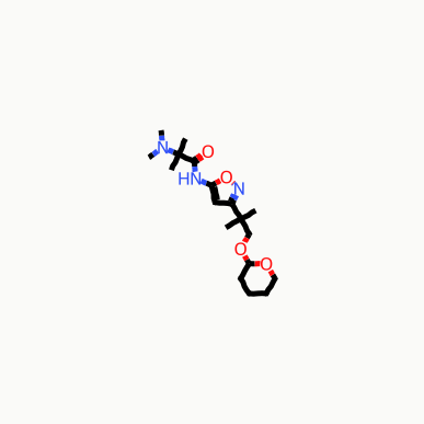 CN(C)C(C)(C)C(=O)Nc1cc(C(C)(C)COC2CCCCO2)no1